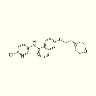 Clc1ccc(Nc2nccc3cc(OCCN4CCOCC4)ccc23)cn1